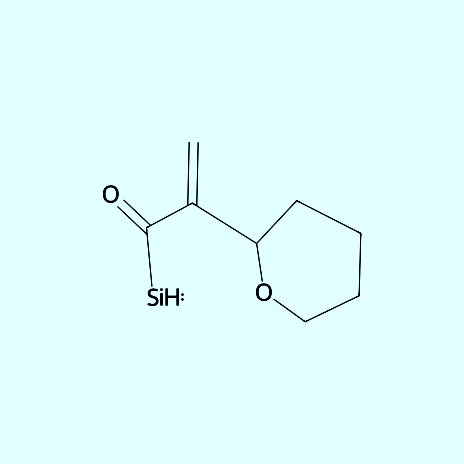 C=C(C(=O)[SiH])C1CCCCO1